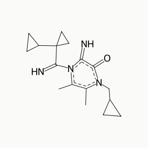 Cc1c(C)n(C(=N)C2(C3CC3)CC2)c(=N)c(=O)n1CC1CC1